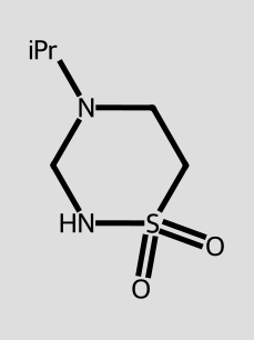 CC(C)N1CCS(=O)(=O)NC1